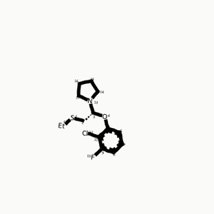 CCSC[C@@H](Oc1cccc(F)c1Cl)N1CCCC1